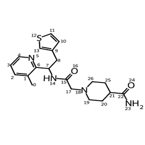 Cc1cccnc1C(Cc1ccsc1)NC(=O)CN1CCC(C(N)=O)CC1